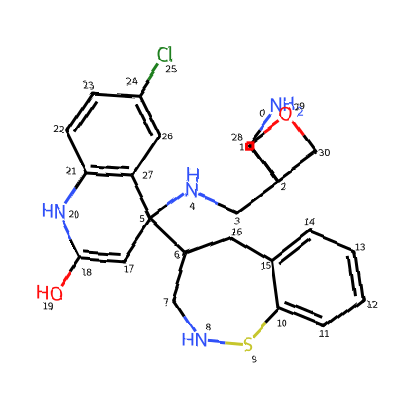 NCC1(CNC2(C3CNSc4ccccc4C3)C=C(O)Nc3ccc(Cl)cc32)COC1